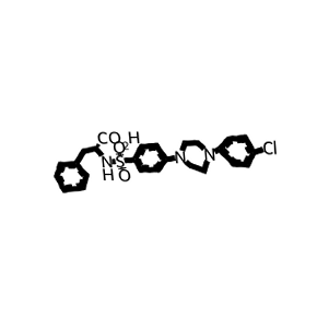 O=C(O)[C@H](Cc1ccccc1)NS(=O)(=O)c1ccc(N2CCN(c3ccc(Cl)cc3)CC2)cc1